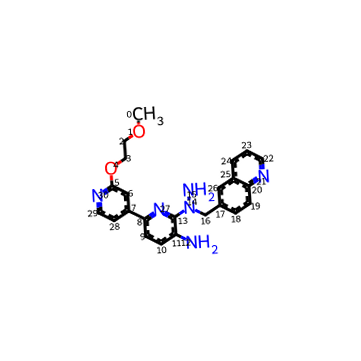 COCCOc1cc(-c2ccc(N)c(N(N)Cc3ccc4ncccc4c3)n2)ccn1